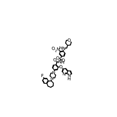 O=C(NS(=O)(=O)c1ccc(NCC2CCOCC2)c([N+](=O)[O-])c1)c1ccc(N2CCN(C3CCCCc4ccc(F)cc43)CC2)cc1Oc1cnc2[nH]ccc2c1